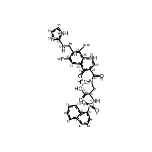 CN(CC(NS(=O)(=O)c1cccc2ccccc12)C(=O)O)C(=O)c1c[nH]c2c(F)c(CNc3ncc[nH]3)c(F)cc2c1=O